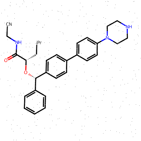 CC(C)C[C@H](O[C@@H](c1ccccc1)c1ccc(-c2ccc(N3CCNCC3)cc2)cc1)C(=O)NCC#N